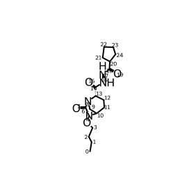 CCCCON1C(=O)N2CC1CC[C@H]2C(=O)NNC(=O)C1CCCC1